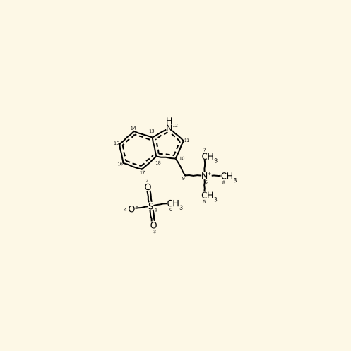 CS(=O)(=O)[O-].C[N+](C)(C)Cc1c[nH]c2ccccc12